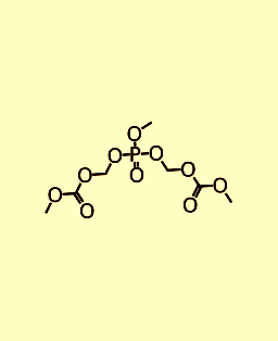 COC(=O)OCOP(=O)(OC)OCOC(=O)OC